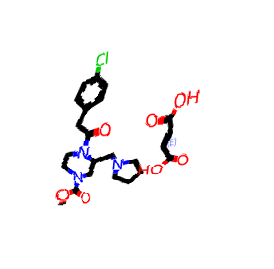 COC(=O)N1CCN(C(=O)Cc2ccc(Cl)cc2)C(CN2CCCC2)C1.O=C(O)/C=C/C(=O)O